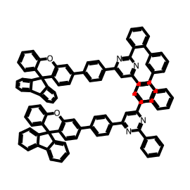 c1ccc(-c2nc(-c3ccc(-c4cccc(-c5ccccc5-c5nc(-c6ccc(-c7ccc8c(c7)Oc7ccccc7C87c8ccccc8-c8ccccc87)cc6)cc(-c6ccc7ccccc7c6)n5)c4)cc3)cc(-c3ccc(-c4ccc5c(c4)Oc4ccccc4C54c5ccccc5-c5ccccc54)cc3)n2)cc1